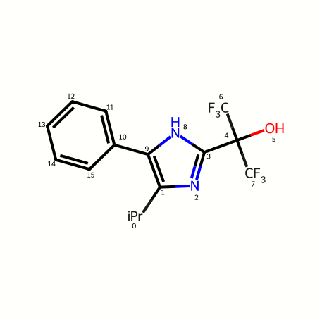 CC(C)c1nc(C(O)(C(F)(F)F)C(F)(F)F)[nH]c1-c1ccccc1